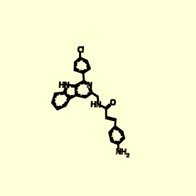 Nc1ccc(/C=C/C(=O)NCc2cc3c([nH]c4ccccc43)c(-c3ccc(Cl)cc3)n2)cc1